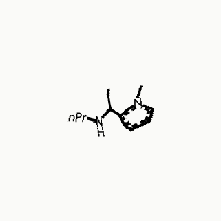 CCCNC(C)c1cccn1C